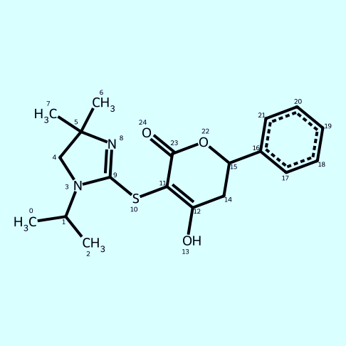 CC(C)N1CC(C)(C)N=C1SC1=C(O)CC(c2ccccc2)OC1=O